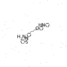 NC(=Nc1ccc(CCCCOc2cccc(Nc3ccccc3)c2)cc1)C1=CC=CCC1=S